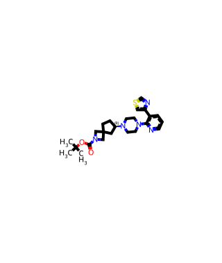 CC(C)(C)OC(=O)N1CC2(CC[C@@H](N3CCN(c4ncccc4-c4cscn4)CC3)C2)C1